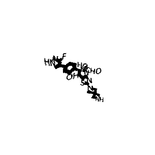 O=CO.Oc1cc(-c2c[nH]nc2F)ccc1-c1cc2sc(N3CC4(CNC4)C3)nc2nn1